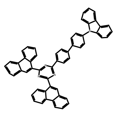 c1ccc2c(c1)cc(-c1nc(-c3ccc(-c4ccc(-n5c6ccccc6c6ccccc65)cc4)cc3)nc(-c3cc4ccccc4c4ccccc34)n1)c1ccccc12